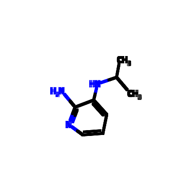 CC(C)Nc1cccnc1N